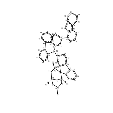 C[C@H]1C[C@@H]2C[C@H](C1)C1(c3ccccc3-c3ccc(N(c4cccc(-c5cccc6c5oc5ccccc56)c4)c4ccccc4-c4ccccc4)cc31)[C@H](C)C2